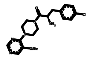 COc1cncnc1N1CCN(C(=O)[C@H](N)Cc2ccc(Cl)cc2)CC1